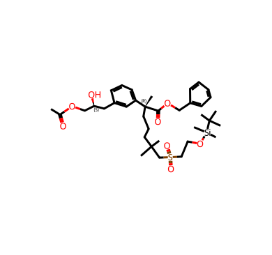 CC(=O)OC[C@@H](O)Cc1cccc([C@@](C)(CCCC(C)(C)CS(=O)(=O)CCO[Si](C)(C)C(C)(C)C)C(=O)OCc2ccccc2)c1